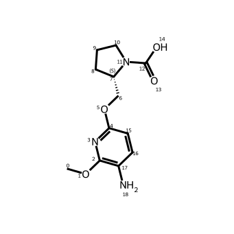 COc1nc(OC[C@@H]2CCCN2C(=O)O)ccc1N